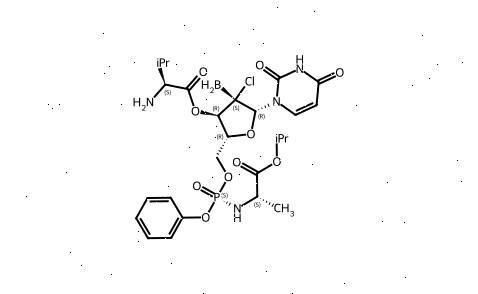 B[C@]1(Cl)[C@H](OC(=O)[C@@H](N)C(C)C)[C@@H](CO[P@@](=O)(N[C@@H](C)C(=O)OC(C)C)Oc2ccccc2)O[C@H]1n1ccc(=O)[nH]c1=O